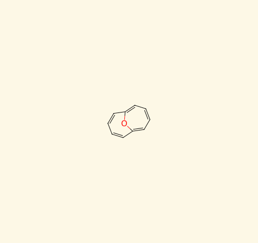 C1=CC=C2C=CC=CC(=C1)O2